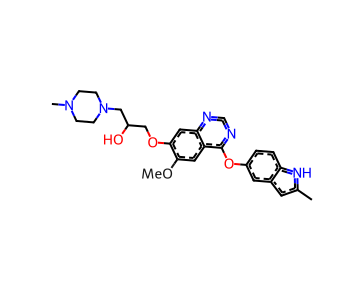 COc1cc2c(Oc3ccc4[nH]c(C)cc4c3)ncnc2cc1OCC(O)CN1CCN(C)CC1